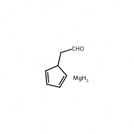 O=CCC1C=CC=C1.[MgH2]